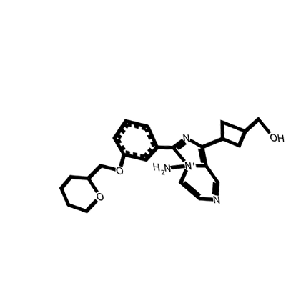 N[N+]12C=CN=CC1=C(C1CC(CO)C1)N=C2c1cccc(OCC2CCCCO2)c1